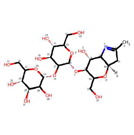 CC1=NC2[C@@H](O)[C@H](O[C@H]3OC(CO)[C@@H](O)[C@H](O)C3O[C@H]3OC(CO)[C@@H](O)[C@H](O)C3O)C(CO)O[C@@H]2C1